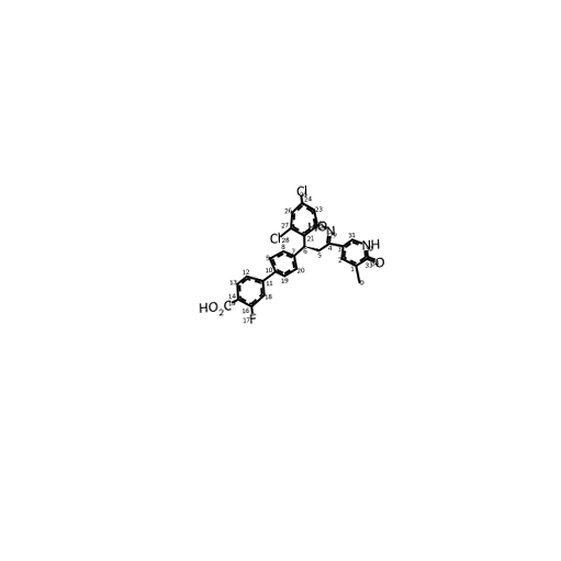 Cc1cc(/C(C[C@@H](c2ccc(-c3ccc(C(=O)O)c(F)c3)cc2)c2ccc(Cl)cc2Cl)=N/O)c[nH]c1=O